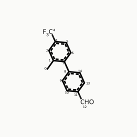 Cc1cc(C(F)(F)F)ccc1-c1ccc(C=O)cc1